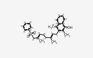 C/C(=C\Cc1c(C)c(O)c2ccccc2c1C)CC/C=C(\C)CS(=O)(=O)c1ccccc1